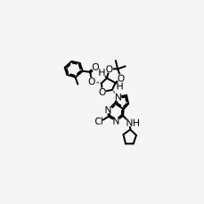 Cc1ccccc1C(=O)O[C@H]1O[C@@H](n2ccc3c(NC4CCCC4)nc(Cl)nc32)[C@@H]2OC(C)(C)O[C@@H]12